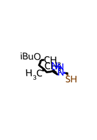 CC(C)COC(C)CC(C)(C)Cc1cn(CS)nn1